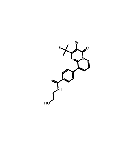 C=C(NCCO)c1ccc(-c2cccn3c(=O)c(Br)c(C(C)(C)F)nc23)cc1